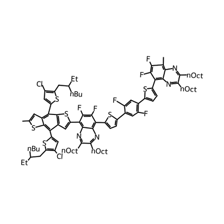 CCCCCCCCc1nc2c(C)c(F)c(F)c(-c3ccc(-c4cc(F)c(-c5ccc(-c6c(F)c(F)c(-c7cc8c(-c9cc(Cl)c(CC(CC)CCCC)s9)c9sc(C)cc9c(-c9cc(Cl)c(CC(CC)CCCC)s9)c8s7)c7nc(CCCCCCCC)c(CCCCCCCC)nc67)s5)cc4F)s3)c2nc1CCCCCCCC